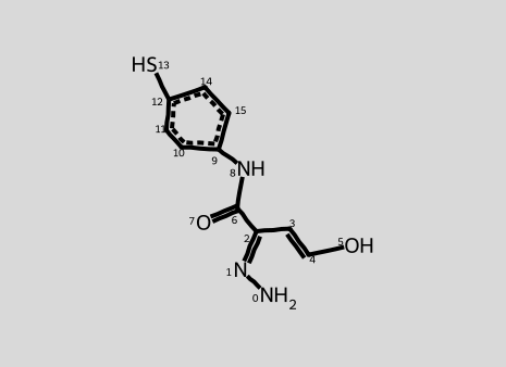 N/N=C(\C=C\O)C(=O)Nc1ccc(S)cc1